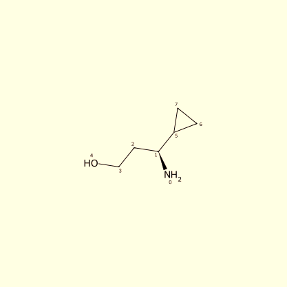 N[C@@H](CCO)C1CC1